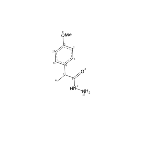 COc1ccc(C(C)C(=O)NN)cc1